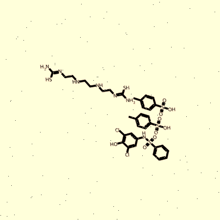 Cc1ccc(S(=O)(=O)O)cc1.Cc1ccc(S(=O)(=O)O)cc1.NC(S)=NCCNCCNCCN=C(N)S.O=S(=O)(Nc1cc(Cl)c(O)c(Cl)c1)c1ccccc1